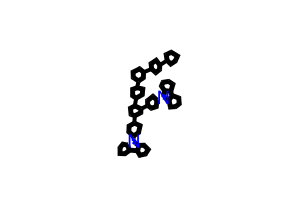 c1ccc(-c2ccc(-c3cccc(-c4ccc(-c5ccc(-c6ccc(-n7c8ccccc8c8ccccc87)cc6)cc5-c5ccc(-n6c7ccccc7c7ccccc76)cc5)cc4)c3)cc2)cc1